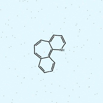 C1=CNC2=c3ccccc3=CC=CC2=C1